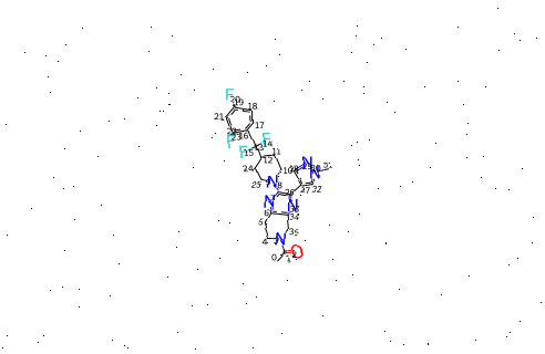 CC(=O)N1CCc2nc(N3CCC(C(F)(F)c4ccc(F)cc4F)CC3)c(-c3cnn(C)c3)nc2C1